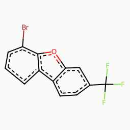 FC(F)(F)c1ccc2c(c1)oc1c(Br)cccc12